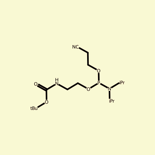 CC(C)N(C(C)C)P(OCCC#N)OCCNC(=O)OC(C)(C)C